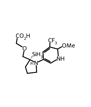 COC1NC=C(N2CCC[C@@]2([SiH3])COCC(=O)O)C=C1C(F)(F)F